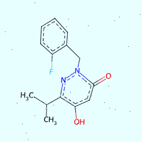 CC(C)c1nn(Cc2ccccc2F)c(=O)cc1O